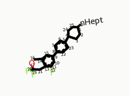 CCCCCCCC1CCC(c2ccc(-c3cc(F)c4c(c3)COC(F)(F)C4)cc2)CC1